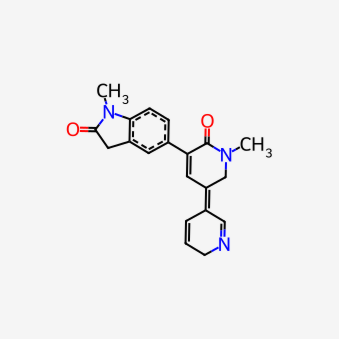 CN1CC(=C2C=CCN=C2)C=C(c2ccc3c(c2)CC(=O)N3C)C1=O